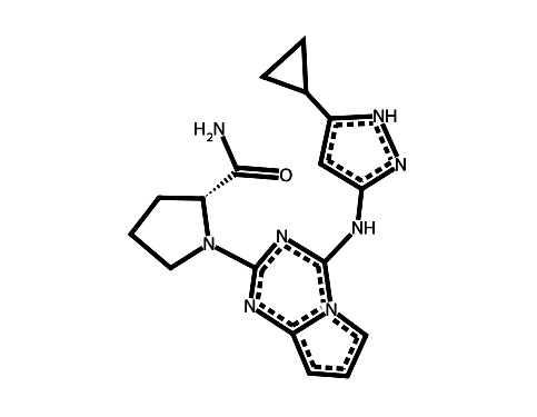 NC(=O)[C@H]1CCCN1c1nc(Nc2cc(C3CC3)[nH]n2)n2cccc2n1